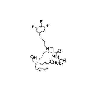 COc1ccc2ncc(CO)c(CCCC3CC(C(=O)NO)CCN3CCCc3cc(F)c(F)c(F)c3)c2c1